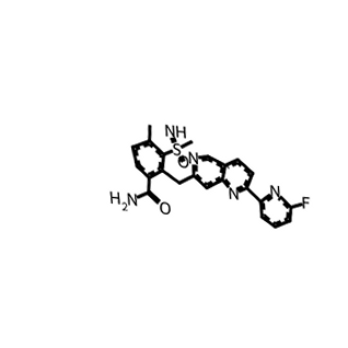 Cc1ccc(C(N)=O)c(Cc2cc3nc(-c4cccc(F)n4)ccc3cn2)c1S(C)(=N)=O